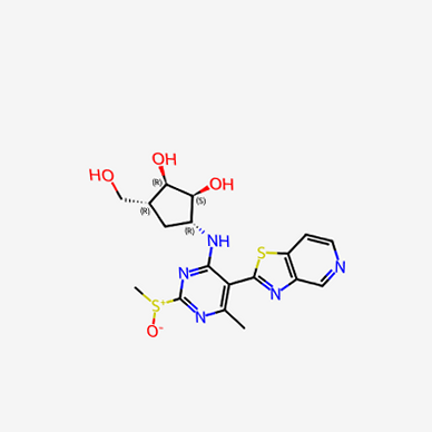 Cc1nc([S+](C)[O-])nc(N[C@@H]2C[C@H](CO)[C@@H](O)[C@H]2O)c1-c1nc2cnccc2s1